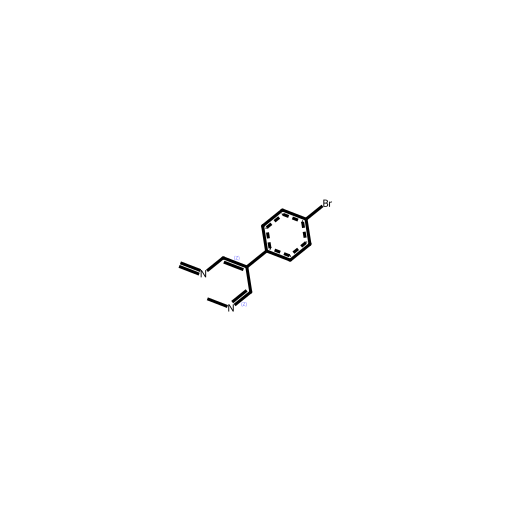 C=N/C=C(\C=N/C)c1ccc(Br)cc1